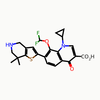 CC1(C)CNCc2cc(-c3ccc4c(=O)c(C(=O)O)cn(C5CC5)c4c3OC(F)F)sc21